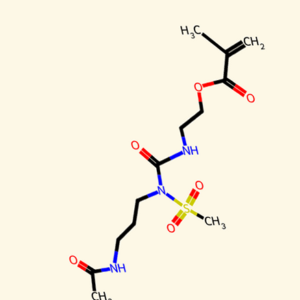 C=C(C)C(=O)OCCNC(=O)N(CCCNC(C)=O)S(C)(=O)=O